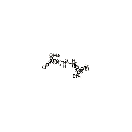 CCN(CC)c1ccc2c(-c3ccc(S(=O)(=O)NCCCCCC(=O)NCCCCNC(=O)CC4=C(C)N(COc5ccc(Cl)cc5)C5C=CC(OC)=CC45)cc3S)c3ccc(=[N+](CC)CC)cc-3oc2c1